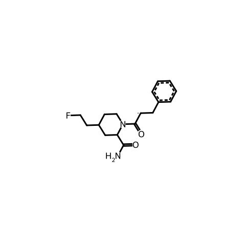 NC(=O)C1CC(CCF)CCN1C(=O)[CH]Cc1ccccc1